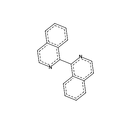 c1ccc2c(-c3nccc4ccccc34)nccc2c1